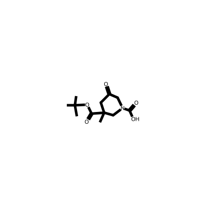 CC(C)(C)OC(=O)C1(C)CC(=O)CN(C(=O)O)C1